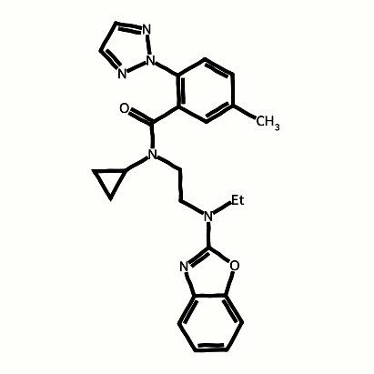 CCN(CCN(C(=O)c1cc(C)ccc1-n1nccn1)C1CC1)c1nc2ccccc2o1